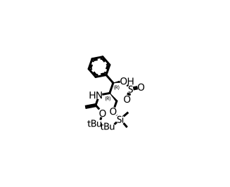 C=C(N[C@H](CO[Si](C)(C)C(C)(C)C)[C@H](O[SH](=O)=O)c1ccccc1)OC(C)(C)C